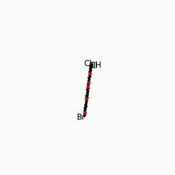 Cl[SiH](Cl)CCCCCCCCCCCCCCCCCCCCCCCCCCCCCCCCCCBr